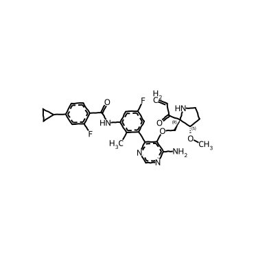 C=CC(=O)[C@]1(COc2c(N)ncnc2-c2cc(F)cc(NC(=O)c3ccc(C4CC4)cc3F)c2C)NCC[C@@H]1OC